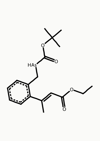 CCOC(=O)C=C(C)c1ccccc1C[AsH]C(=O)OC(C)(C)C